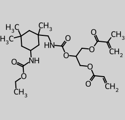 C=CC(=O)OCC(COC(=O)C(=C)C)OC(=O)NCC1(C)CC(NC(=O)OCC)CC(C)(C)C1